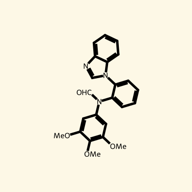 COc1cc(N(C=O)c2ccccc2-n2cnc3ccccc32)cc(OC)c1OC